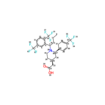 CCCC(c1cc(C(F)(F)F)ccc1C(F)(F)F)N1CC[C@H](CC(=O)O)C[C@@H]1C1C=CC(C(F)(F)F)=CC1